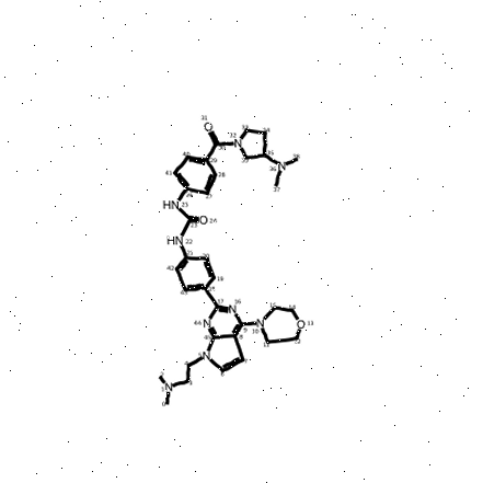 CN(C)CCn1ccc2c(N3CCOCC3)nc(-c3ccc(NC(=O)Nc4ccc(C(=O)N5CCC(N(C)C)C5)cc4)cc3)nc21